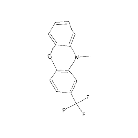 CN1c2ccccc2Oc2ccc(C(F)(F)F)cc21